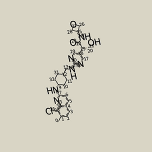 Cc1ccc2ccc(N[C@H]3CC[C@H](CNc4ncc([C@@H](CO)C(=O)NC5COC5)cn4)CC3)nc2c1Cl